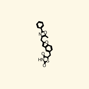 Cc1oc(-c2ccccc2)nc1Cc1cc2cc(CC3SC(=O)NC3=O)ccc2o1